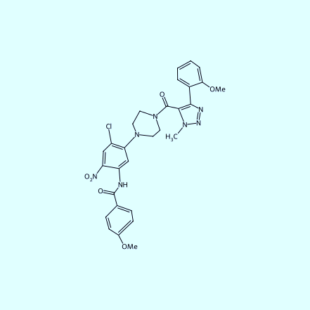 COc1ccc(C(=O)Nc2cc(N3CCN(C(=O)c4c(-c5ccccc5OC)nnn4C)CC3)c(Cl)cc2[N+](=O)[O-])cc1